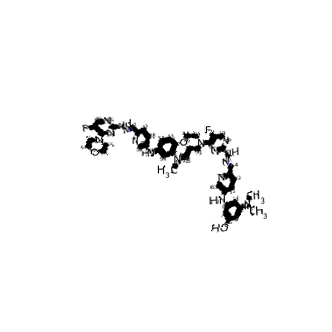 CN(C)c1cc(O)cc(Nc2ccc(/C=N/Nc3ncc(F)c(N4CCOC(CN(C)c5cccc(Nc6ccc(/C=N/Nc7ncc(F)c(N8CCOCC8)n7)nc6)c5)C4)n3)nc2)c1